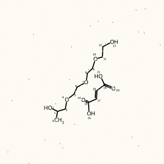 CC(O)COCCOCCOCCO.O=C(O)C=CC(=O)O